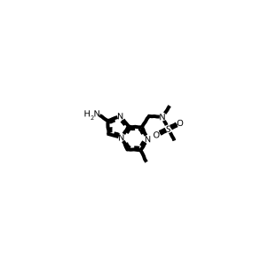 Cc1cn2cc(N)nc2c(CN(C)S(C)(=O)=O)n1